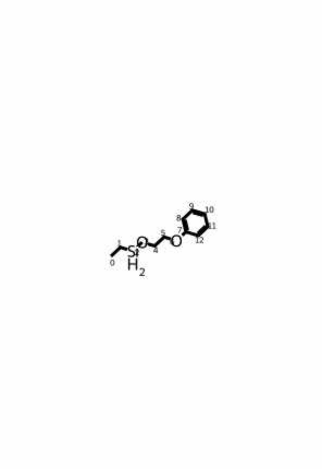 CC[SiH2]OCCOc1ccccc1